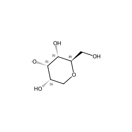 [O][C@@H]1[C@H](O)[C@@H](CO)OC[C@@H]1O